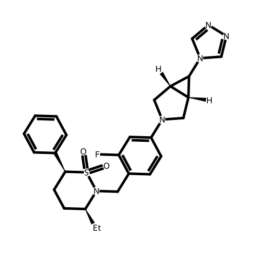 CC[C@H]1CC[C@@H](c2ccccc2)S(=O)(=O)N1Cc1ccc(N2C[C@@H]3C(n4cnnc4)[C@@H]3C2)cc1F